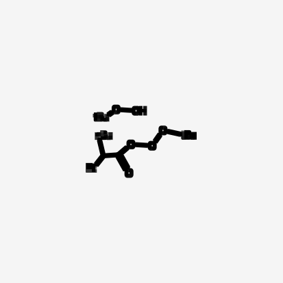 CC(C)(C)OO.CCCCC(CC)C(=O)OOOC(C)(C)C